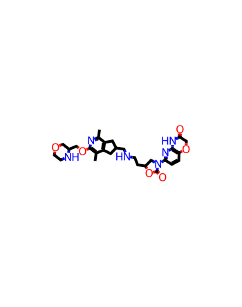 Cc1nc(OCC2COCCN2)c(C)c2c1CC(CNCCC1CN(c3ccc4c(n3)NC(=O)CO4)C(=O)O1)C2